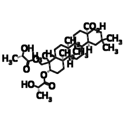 C[C@H](O)C(=O)OCC1(C)[C@@H](OC(=O)[C@H](C)O)CC[C@]2(C)[C@H]3CC=C4[C@@H]5CC(C)(C)CC[C@]5(C(=O)O)CC[C@@]4(C)[C@]3(C)CC[C@@H]12